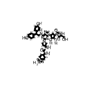 NS(=O)(=O)c1ccc(NC(=O)NC2CCN(c3nc(NCC(c4ccc(O)cc4)c4ccc(O)cc4)c4ncn([C@@H]5C[C@H](N6C(=O)NC(CO)C6=O)[C@@H](O)[C@H]5O)c4n3)C2)cc1